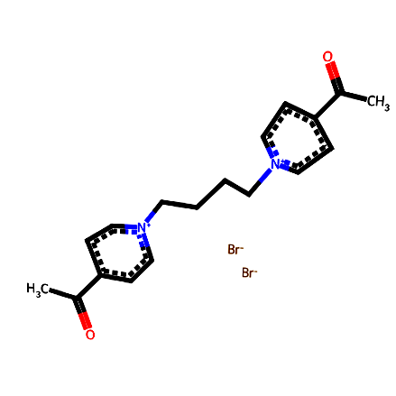 CC(=O)c1cc[n+](CCCC[n+]2ccc(C(C)=O)cc2)cc1.[Br-].[Br-]